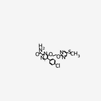 CSc1cnc(OCCOc2nc(C(N)=O)n[c]c2-c2ccc(Cl)cc2)nc1